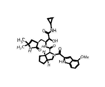 COc1cccc2[nH]c(C(=O)N3C[C@@H]4CCC[C@@H]4[C@H]3C(=O)N[C@@H](C[C@@H]3CC(C)(C)NC3=O)C(O)C(=O)NC3CC3)cc12